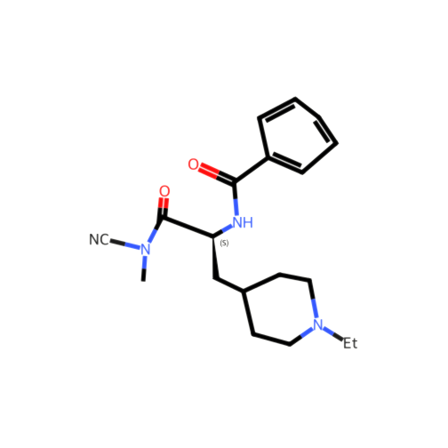 CCN1CCC(C[C@H](NC(=O)c2ccccc2)C(=O)N(C)C#N)CC1